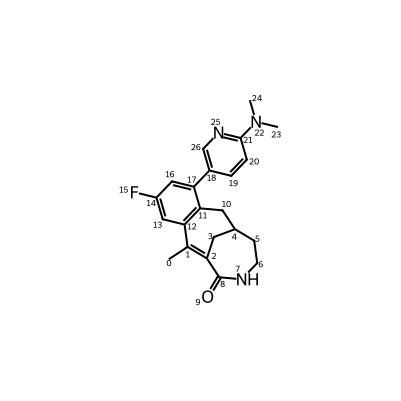 CC1=C2CC(CCNC2=O)Cc2c1cc(F)cc2-c1ccc(N(C)C)nc1